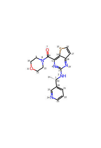 C[C@H](Nc1nc(C(=O)N2CCOCC2)c2sccc2n1)c1cccnc1